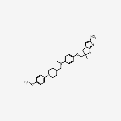 CN(CC1CCN(c2ccc(OC(F)(F)F)cc2)CC1)c1ccc(OCC2(C)Cn3cc([N+](=O)[O-])nc3O2)cc1